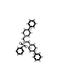 O=S(=O)(c1ccccc1)N(CN1CCC(c2ccccc2)CC1)CN1CCC(c2ccccc2)CC1